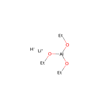 CC[O][Al]([O]CC)[O]CC.[H-].[Li+]